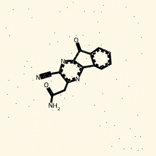 N#Cc1nc2c(nc1CC(N)=O)-c1ccccc1C2=O